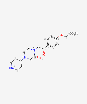 CCOC(=O)COc1ccc(C(=O)CN2CCN(C3CCNCC3)CC2=O)cc1